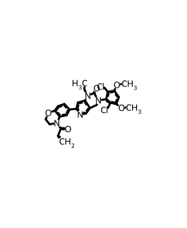 C=CC(=O)N1CCOc2ccc(-c3cc4c(cn3)CN(c3c(Cl)c(OC)cc(OC)c3Cl)C(=O)N4CC)cc21